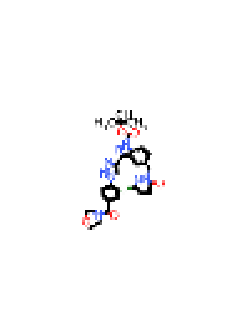 CC(C)(C)OC(=O)n1nc(-c2cn(-c3ccc(C(=O)N4CCOCC4)cc3)nn2)c2cc(Cn3nc(Cl)ccc3=O)ccc21